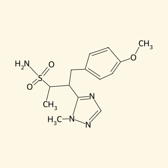 COc1ccc(CC(c2ncnn2C)C(C)S(N)(=O)=O)cc1